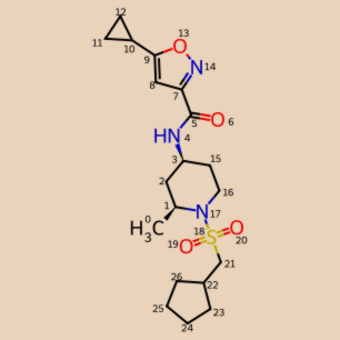 C[C@H]1C[C@@H](NC(=O)c2cc(C3CC3)on2)CCN1S(=O)(=O)CC1CCCC1